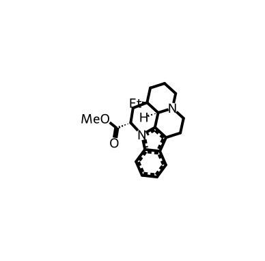 CC[C@]12CCCN3CCc4c(n(c5ccccc45)[C@H](C(=O)OC)C1)[C@H]32